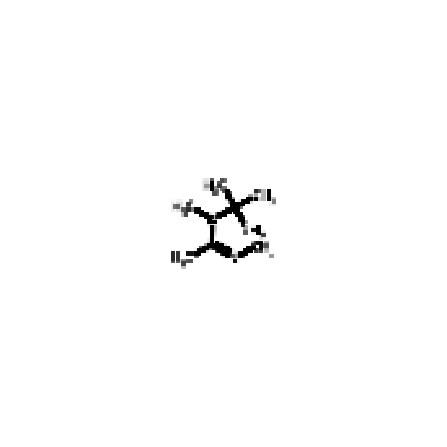 CN=C(C)N(C)C(C)(C)C